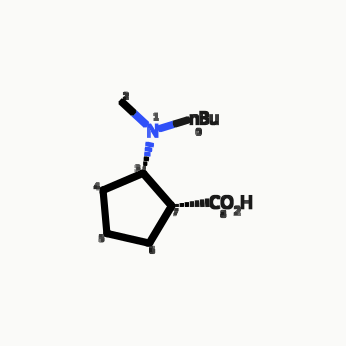 CCCCN(C)[C@H]1CCC[C@H]1C(=O)O